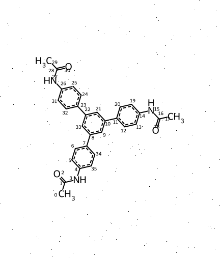 CC(=O)Nc1ccc(-c2cc(-c3ccc(NC(C)=O)cc3)cc(-c3ccc(NC(C)=O)cc3)c2)cc1